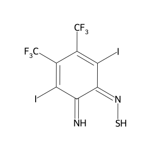 N=C1C(I)=C(C(F)(F)F)C(C(F)(F)F)=C(I)/C1=N/S